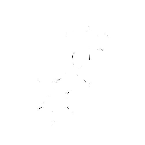 NC[C@@H]1O[C@@H](O[C@H]2[C@H](O)[C@@H](O[C@H]3O[C@H](CO)[C@@H](O)[C@H](N)[C@H]3O)[C@H](N)C[C@@H]2N)[C@@H](O)[C@H](O)[C@H]1O